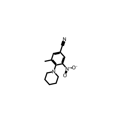 Cc1cc(C#N)cc([N+](=O)[O-])c1N1CCCCC1